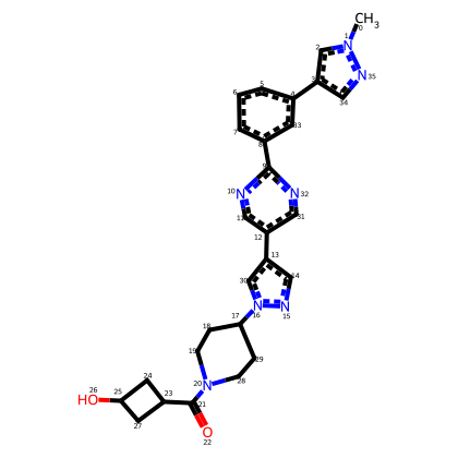 Cn1cc(-c2cccc(-c3ncc(-c4cnn(C5CCN(C(=O)C6CC(O)C6)CC5)c4)cn3)c2)cn1